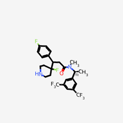 C[C@@H](c1cc(C(F)(F)F)cc(C(F)(F)F)c1)N(C)C(=O)CC(c1ccc(F)cc1)C1(F)CCNCC1